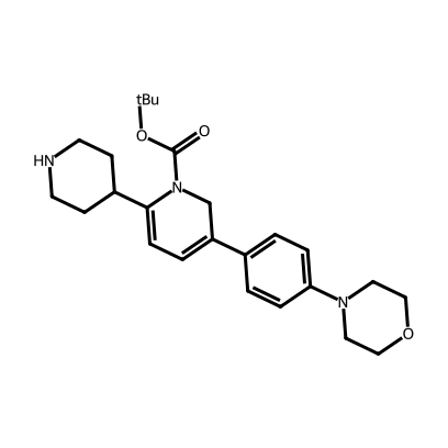 CC(C)(C)OC(=O)N1CC(c2ccc(N3CCOCC3)cc2)=CC=C1C1CCNCC1